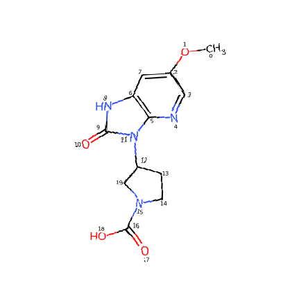 COc1cnc2c(c1)[nH]c(=O)n2C1CCN(C(=O)O)C1